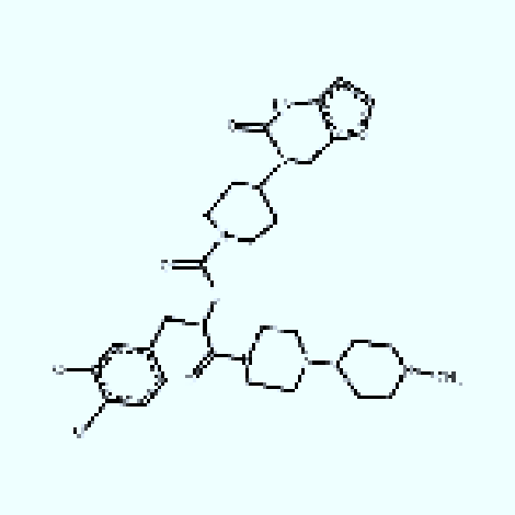 CN1CCC(N2CCN(C(=O)[C@@H](Cc3ccc(Cl)c(Cl)c3)OC(=O)N3CCC(N4Cc5sccc5NC4=O)CC3)CC2)CC1